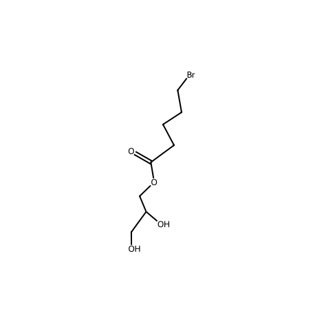 O=C(CCCCBr)OCC(O)CO